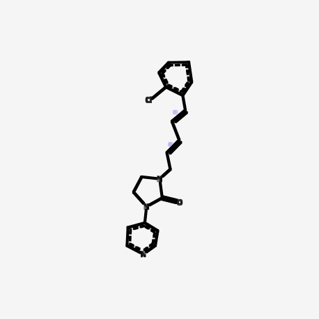 O=C1N(C/C=C/C=C/c2ccccc2Cl)CCN1c1ccncc1